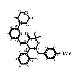 COc1ccc(CN2CC(C)(C)C(=O)C(=Cc3cccc(N4CCOCC4)n3)C2c2ccccc2F)cc1